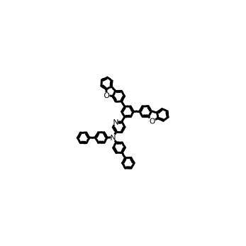 c1ccc(-c2ccc(N(c3ccc(-c4ccccc4)cc3)c3ccc(-c4cc(-c5ccc6c(c5)oc5ccccc56)cc(-c5ccc6c(c5)oc5ccccc56)c4)nc3)cc2)cc1